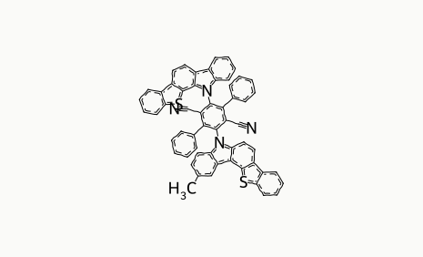 Cc1ccc2c(c1)c1c3sc4ccccc4c3ccc1n2-c1c(C#N)c(-c2ccccc2)c(-n2c3ccccc3c3ccc4c5ccccc5sc4c32)c(C#N)c1-c1ccccc1